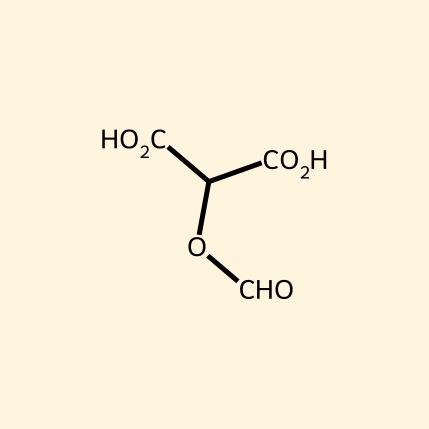 O=COC(C(=O)O)C(=O)O